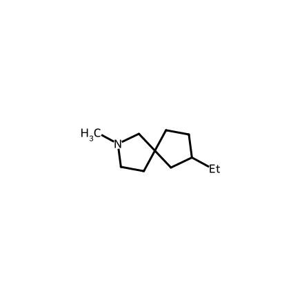 CCC1CCC2(CCN(C)C2)C1